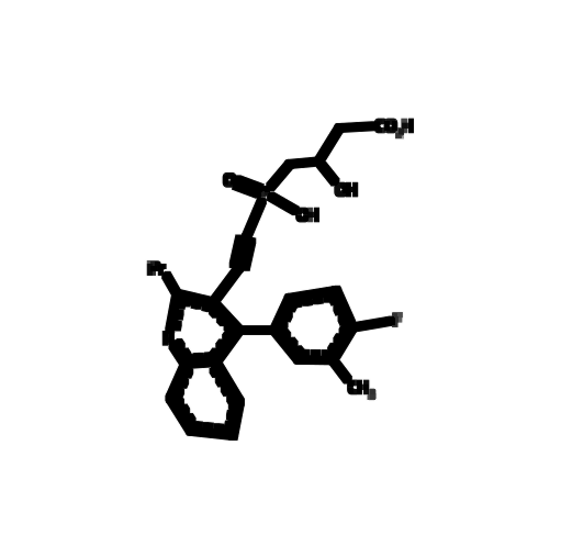 Cc1cc(-c2c(C#CP(=O)(O)CC(O)CC(=O)O)c(C(C)C)nc3ccccc23)ccc1F